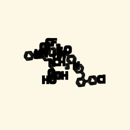 CN(CCOP(O)O)CCC(CSc1ccccc1)Nc1ccc(SNC(=O)c2ccc(N3CCC(Cc4ccccc4-c4ccc(Cl)cc4)CC3)cc2)cc1[S+]([O-])C(F)(F)F